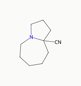 N#CC12CCCCCN1CCC2